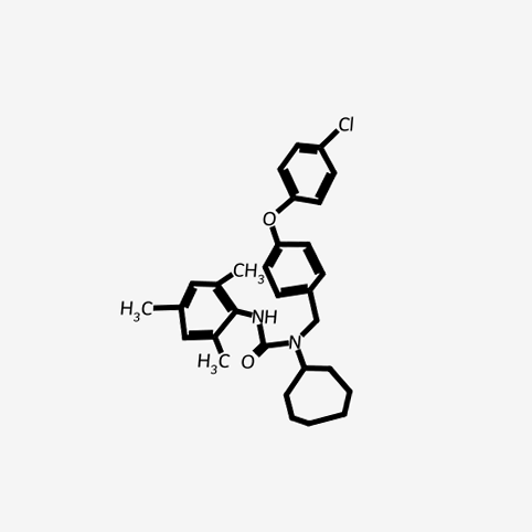 Cc1cc(C)c(NC(=O)N(Cc2ccc(Oc3ccc(Cl)cc3)cc2)C2CCCCCC2)c(C)c1